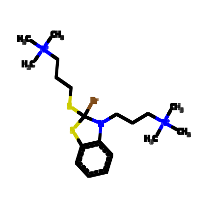 C[N+](C)(C)CCCSC1(Br)Sc2ccccc2N1CCC[N+](C)(C)C